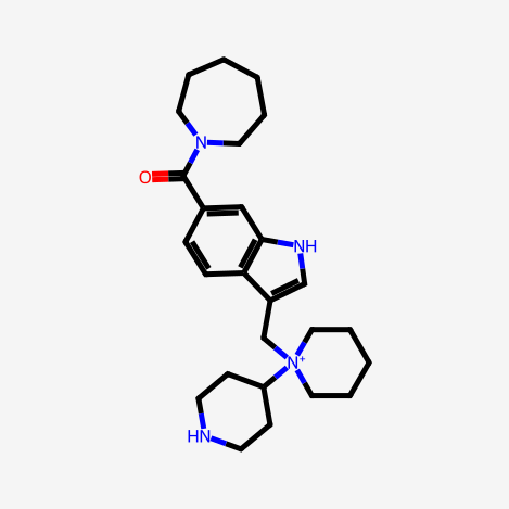 O=C(c1ccc2c(C[N+]3(C4CCNCC4)CCCCC3)c[nH]c2c1)N1CCCCCC1